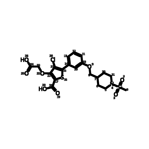 CS(=O)(=O)N1CCC(COc2cccc(-c3sc(C(=O)O)c(OCC(=O)O)c3Cl)c2)CC1